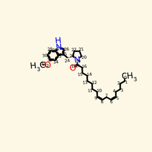 CCCCC/C=C\C/C=C\CCCCCCCC(=O)N1CCC[C@H]1Cc1c[nH]c2ccc(OC)cc12